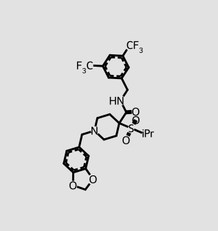 CC(C)S(=O)(=O)C1(C(=O)NCc2cc(C(F)(F)F)cc(C(F)(F)F)c2)CCN(Cc2ccc3c(c2)OCO3)CC1